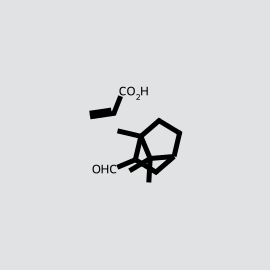 C=CC(=O)O.CC1(C)C2CCC1(C)C(C=O)C2